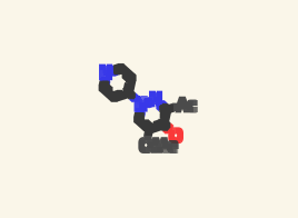 COc1cn(-c2ccncc2)nc(C(C)=O)c1=O